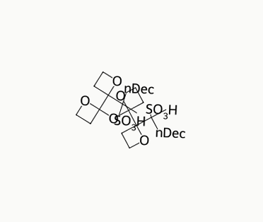 CCCCCCCCCCC(C)(C1(C2(OC3(C4(C(C)(CCCCCCCCCC)S(=O)(=O)O)CCO4)CCO3)CCO2)CCO1)S(=O)(=O)O